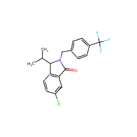 CC(C)C1c2ccc(Cl)cc2C(=O)N1Cc1ccc(C(F)(F)F)cc1